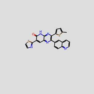 Cc1ccc(-c2nc3[nH]c(=O)c(-c4nccs4)cc3nc2-c2ccc3ncccc3c2)s1